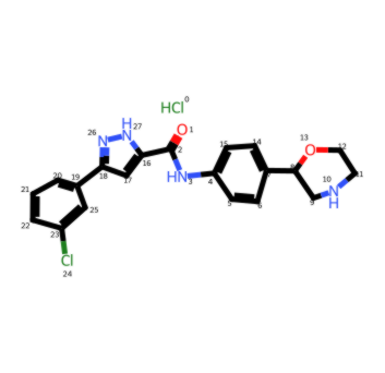 Cl.O=C(Nc1ccc(C2CNCCO2)cc1)c1cc(-c2cccc(Cl)c2)n[nH]1